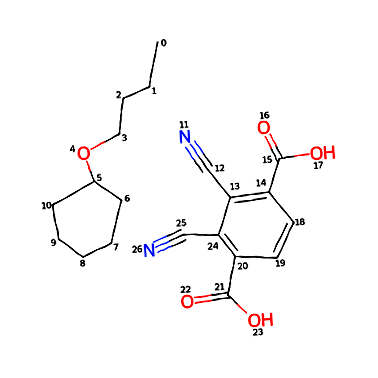 CCCCOC1CCCCC1.N#Cc1c(C(=O)O)ccc(C(=O)O)c1C#N